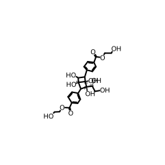 O=C(OCCO)c1ccc(C2C(O)[C@@]3(O)C(c4ccc(C(=O)OCCO)cc4)[C@@](O)([C@H](O)CO)[C@@]23O)cc1